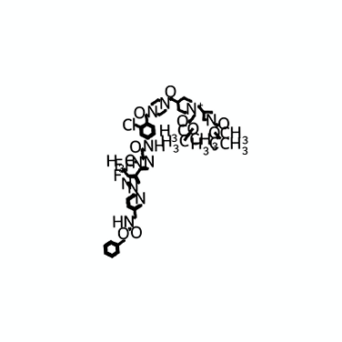 Cn1c(-c2cn(-c3ccc(CNC(=O)OCc4ccccc4)cn3)nc2C(F)(F)F)cnc1C(=O)Nc1ccc(C(=O)N2CCN(C(=O)C3CC[N+](CC(=O)OC(C)(C)C)(CC4CN(C(=O)OC(C)(C)C)C4)CC3)CC2)c(Cl)c1